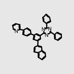 c1ccc(-c2nc(-c3ccccc3)nc(-c3cc(-c4ccc(-c5ccccn5)cc4)cc(-c4ccc5ccccc5c4)c3)n2)cc1